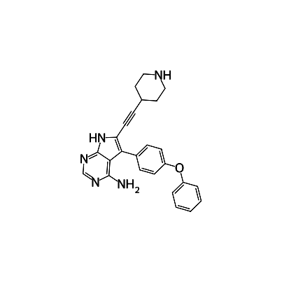 Nc1ncnc2[nH]c(C#CC3CCNCC3)c(-c3ccc(Oc4ccccc4)cc3)c12